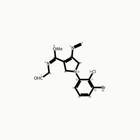 C=NC1=C(/C(=N\CC=O)OC)CN(c2cccc(Br)c2Cl)C1